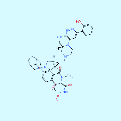 CN(C(=O)c1cc(N2CC3CCC(C2)C3CN2C[C@@H]3[C@H](C2)[C@H]3CN2CCN3c4cc(-c5ccccc5O)nnc4NC[C@H]3C2)ccc1C=O)C1CCC(=O)NC1=O